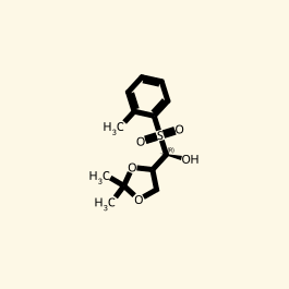 Cc1ccccc1S(=O)(=O)[C@@H](O)C1COC(C)(C)O1